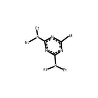 CCc1nc(N(CC)CC)nc(N(CC)CC)n1